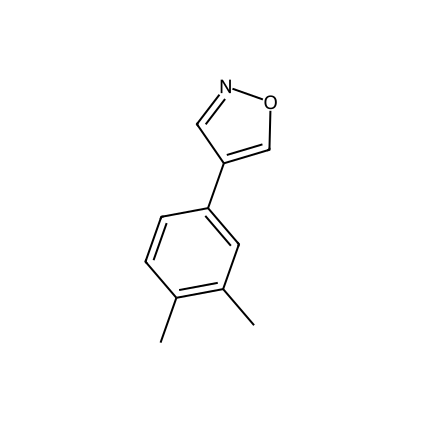 Cc1ccc(-c2cnoc2)cc1C